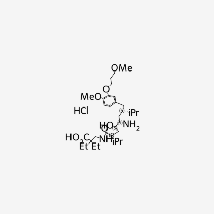 CCC(CC)(CNC(=O)[C@@H](C[C@H](O)[C@@H](N)C[C@H](Cc1ccc(OC)c(OCCCOC)c1)C(C)C)C(C)C)C(=O)O.Cl